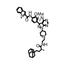 COc1cc(-c2nn(C3CCN(CCNC(=O)[C@@H](C)CCC45CC6CC(CC(C6)C4)C5)CC3)c3ncnc(N)c23)ccc1NC(=O)c1cc2ccccc2n1C